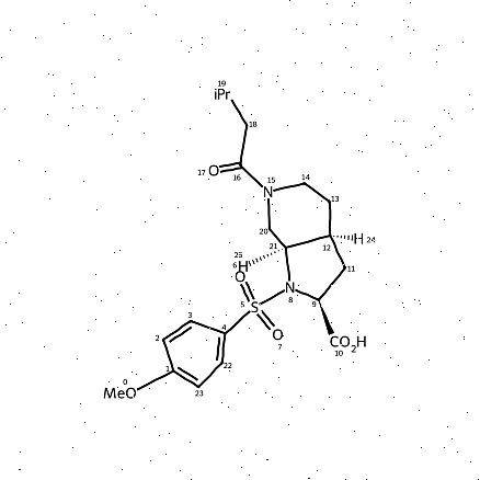 COc1ccc(S(=O)(=O)N2[C@H](C(=O)O)C[C@@H]3CCN(C(=O)CC(C)C)C[C@@H]32)cc1